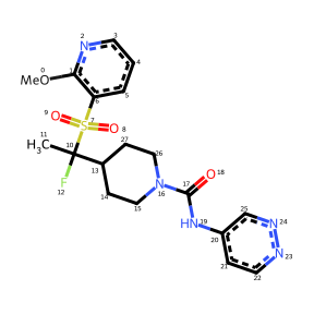 COc1ncccc1S(=O)(=O)C(C)(F)C1CCN(C(=O)Nc2ccnnc2)CC1